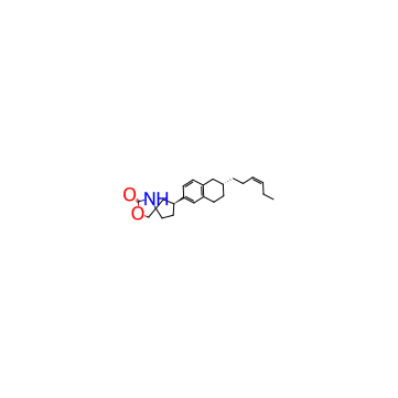 CC/C=C\CC[C@@H]1CCc2cc([C@H]3CCC4(COC(=O)N4)C3)ccc2C1